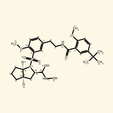 COc1ccc(C(C)(C)C)cc1C(=O)NCCc1ccc(OC)c(S(=O)(=O)N2[C@@H](C(O)NO)C[C@H]3CCC[C@H]32)c1